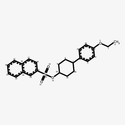 CCOc1ccc(C2CCC(OS(=O)(=O)c3ccc4ccccc4c3)CC2)cc1